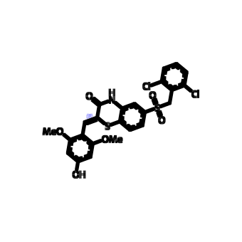 COc1cc(O)cc(OC)c1/C=C1\Sc2ccc(S(=O)(=O)Cc3c(Cl)cccc3Cl)cc2NC1=O